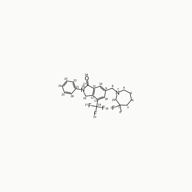 CC1(F)CCCCN(Cc2cc3c(c(C(F)(F)F)c2)CN(c2ccccc2)C3=O)C1